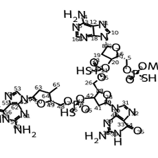 COP(=O)(S)OC[C@H]1O[C@@H](n2cnc3c(N)ncnc32)CC1OP(=O)(S)OC[C@H]1O[C@@H](n2cnc3c(=O)[nH]c(N)nc32)CC1OP(=O)(S)OC[C@H]1O[C@@H](n2cnc3c(=O)[nH]c(N)nc32)CC1C